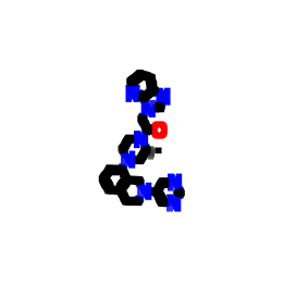 C[C@@H]1CN(c2cccc3c2CN(c2cncnc2)CC3)CCN1C(=O)Cn1cnc2cccnc21